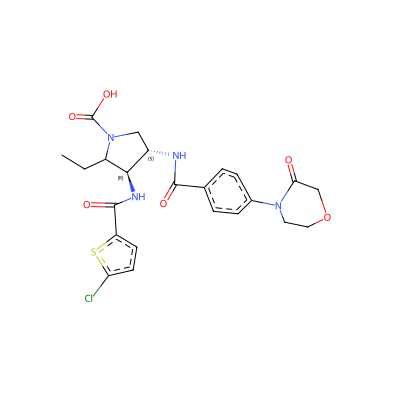 CCC1[C@H](NC(=O)c2ccc(Cl)s2)[C@@H](NC(=O)c2ccc(N3CCOCC3=O)cc2)CN1C(=O)O